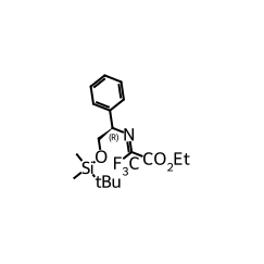 CCOC(=O)C(=N[C@@H](CO[Si](C)(C)C(C)(C)C)c1ccccc1)C(F)(F)F